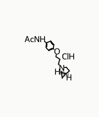 CC(=O)Nc1ccc(OCCCN2CC[C@H]3C[C@H]32)cc1.Cl